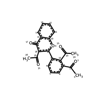 CC(=O)c1cccc(-c2oc3ccccc3c(=O)c2C(C)=O)c1C(C)=O